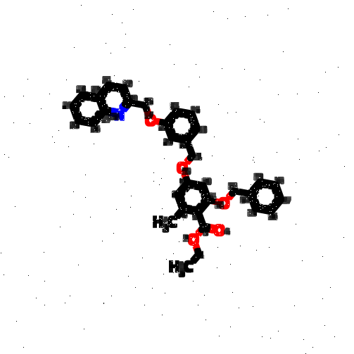 CCOC(=O)c1c(C)cc(OCc2cccc(OCc3ccc4ccccc4n3)c2)cc1OCc1ccccc1